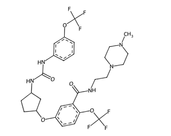 CN1CCN(CCNC(=O)c2cc(OC3CCC(NC(=O)Nc4cccc(OC(F)(F)F)c4)C3)ccc2OC(F)(F)F)CC1